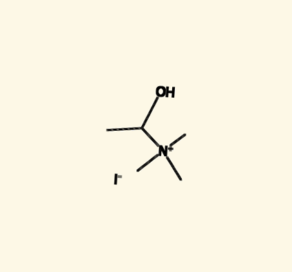 CC(O)[N+](C)(C)C.[I-]